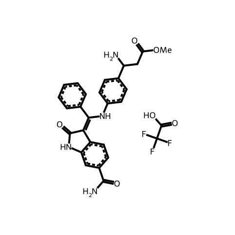 COC(=O)CC(N)c1ccc(NC(=C2C(=O)Nc3cc(C(N)=O)ccc32)c2ccccc2)cc1.O=C(O)C(F)(F)F